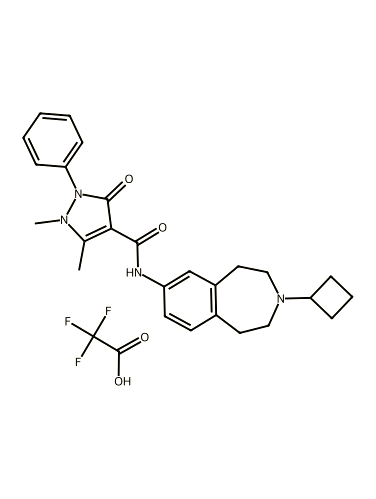 Cc1c(C(=O)Nc2ccc3c(c2)CCN(C2CCC2)CC3)c(=O)n(-c2ccccc2)n1C.O=C(O)C(F)(F)F